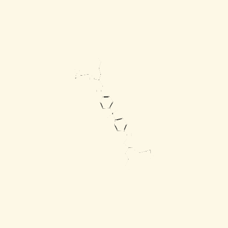 CCCCC(COc1ccc(C(C)(C)c2ccc(OCC(CCCC)OCC3CO3)cc2)cc1)OCC1CO1